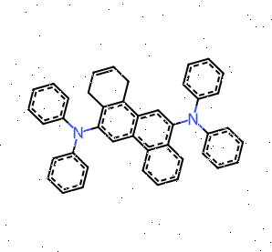 C1=CCc2c(c(N(c3ccccc3)c3ccccc3)cc3c2cc(N(c2ccccc2)c2ccccc2)c2ccccc23)C1